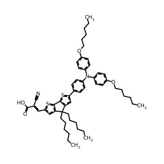 CCCCCCOc1ccc(N(c2ccc(OCCCCCC)cc2)c2ccc(-c3cc4c(s3)-c3sc(/C=C(\C#N)C(=O)O)cc3C4(CCCCCC)CCCCCC)cc2)cc1